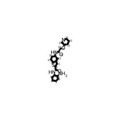 Nc1ccccc1NC(=O)c1cc2cc(NC(=O)COc3cccnc3)ccc2s1